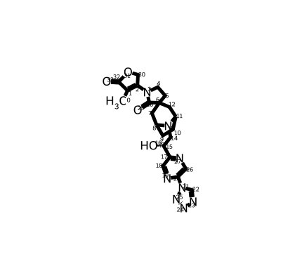 CC1=C(N2CCC3(CC4CCC(C3)N4C[C@@H](O)c3cnc(-n4cnnn4)cn3)C2=O)COC1=O